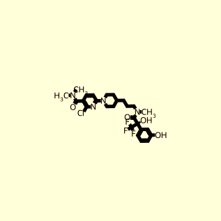 CN(C)C(=O)c1ccc(N2CCC(CCCN(C)C(=O)[C@](O)(c3cccc(O)c3)C(F)(F)F)CC2)nc1Cl